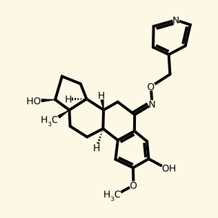 COc1cc2c(cc1O)/C(=N/OCc1ccncc1)C[C@@H]1[C@@H]2CC[C@]2(C)[C@@H](O)CC[C@@H]12